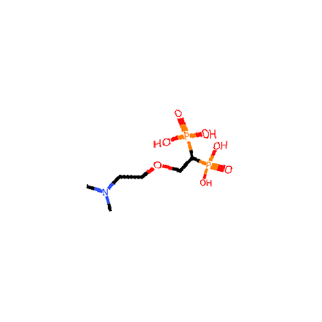 CN(C)CCOCC(P(=O)(O)O)P(=O)(O)O